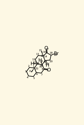 C[C@]12CCCCC1CC(=O)[C@@H]1[C@H]2CC[C@]2(C)C(=O)C(Br)C[C@@H]12